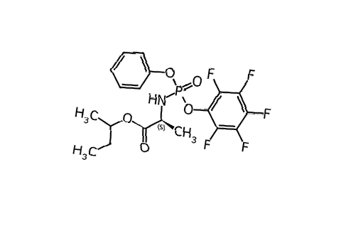 CCC(C)OC(=O)[C@H](C)NP(=O)(Oc1ccccc1)Oc1c(F)c(F)c(F)c(F)c1F